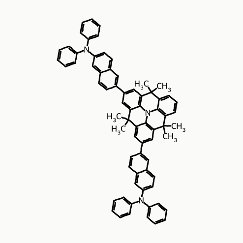 CC1(C)c2cccc3c2N2c4c1cc(-c1ccc5cc(N(c6ccccc6)c6ccccc6)ccc5c1)cc4C(C)(C)c1cc(-c4ccc5cc(N(c6ccccc6)c6ccccc6)ccc5c4)cc(c12)C3(C)C